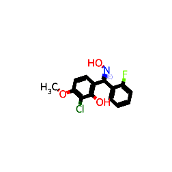 COc1ccc(/C(=N\O)c2ccccc2F)c(O)c1Cl